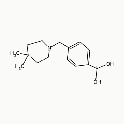 CC1(C)CCN(Cc2ccc(B(O)O)cc2)CC1